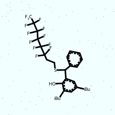 CCC(C)c1cc(C(C)CC)c(O)c(C(SCCC(F)(F)C(F)(F)C(F)(F)C(F)(F)C(F)(F)C(F)(F)F)c2ccccc2)c1